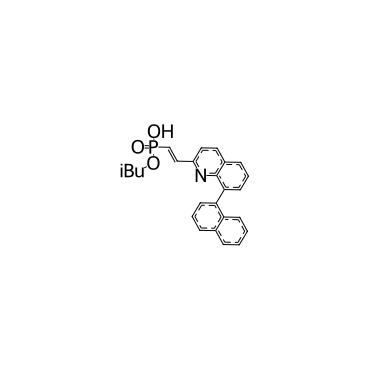 CCC(C)OP(=O)(O)C=Cc1ccc2cccc(-c3cccc4ccccc34)c2n1